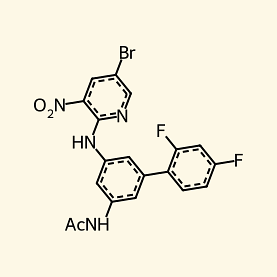 CC(=O)Nc1cc(Nc2ncc(Br)cc2[N+](=O)[O-])cc(-c2ccc(F)cc2F)c1